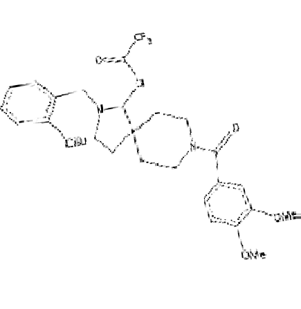 COc1ccc(C(=O)N2CCC3(CC2)CCN(Cc2ccccc2OCC(C)C)C3OC(=O)C(F)(F)F)cc1OC